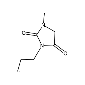 [CH2]CCN1C(=O)CN(C)C1=O